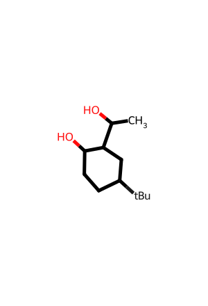 CC(O)C1CC(C(C)(C)C)CCC1O